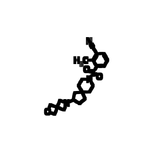 Cc1c(C#N)cccc1S(=O)(=O)N1CCC2(CCC(N3CC4(COC4)C3)C2)CC1